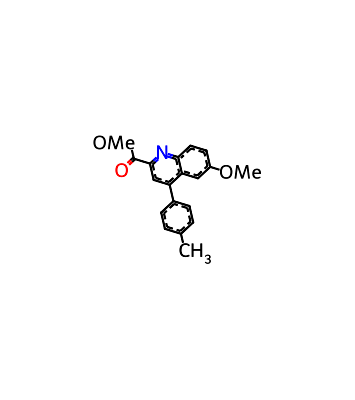 COC(=O)c1cc(-c2ccc(C)cc2)c2cc(OC)ccc2n1